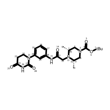 C[C@@H]1CN(C(=O)OC(C)(C)C)C[C@H](C)N1CC(=O)Nc1cccc(N2CCC(=O)NC2=O)c1